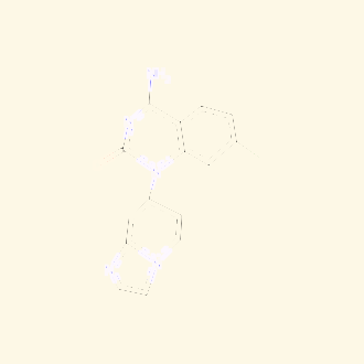 Nc1nc(=O)n(-c2ccn3ccnc3c2)c2cc(Cl)ccc12